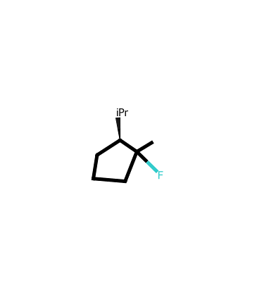 CC(C)[C@@H]1CCCC1(C)F